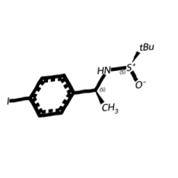 C[C@H](N[S@+]([O-])C(C)(C)C)c1ccc(I)cc1